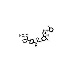 Cc1ccccc1Nc1nc2c(C)cc(CC(=O)Nc3ccc(C4(CC(=O)O)CCCC4)cc3)cc2o1